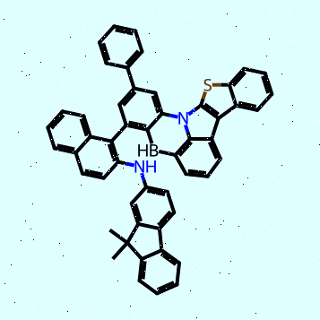 CC1(C)c2ccccc2-c2ccc(Nc3ccc4ccccc4c3-c3cc(-c4ccccc4)cc4c3Bc3cccc5c6c7ccccc7sc6n-4c35)cc21